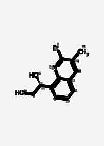 CCc1nc2c([C@@H](O)CO)cccc2cc1C